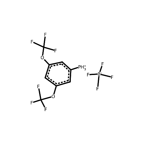 FC(F)(F)Oc1cc([PH3+])cc(OC(F)(F)F)c1.F[B-](F)(F)F